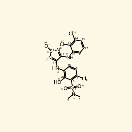 CN(C)S(=O)(=O)c1c(Cl)ccc(Nc2n[s+]([O-])nc2Nc2cccc(Cl)c2Cl)c1O